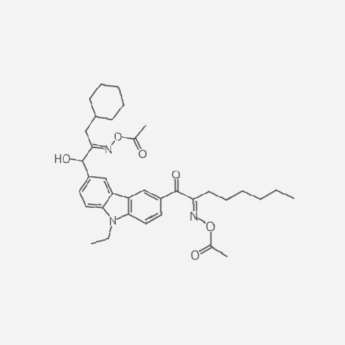 CCCCCCC(=NOC(C)=O)C(=O)c1ccc2c(c1)c1cc(C(O)C(CC3CCCCC3)=NOC(C)=O)ccc1n2CC